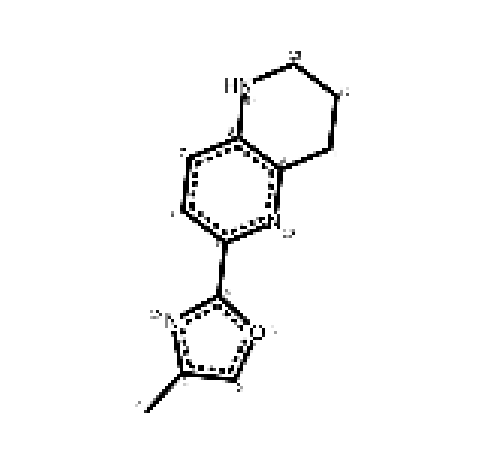 Cc1coc(-c2ccc3c(n2)CCCN3)n1